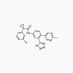 Cc1ncc(-c2ccc(NC(=O)C3(c4cccc(Cl)c4)CC3)cc2-c2nnn[nH]2)cn1